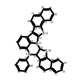 c1ccc(N2c3cccc4c3B(c3sc5c(ccc6ccccc65)c3-4)C3Sc4c(ccc5ccccc45)C32)cc1